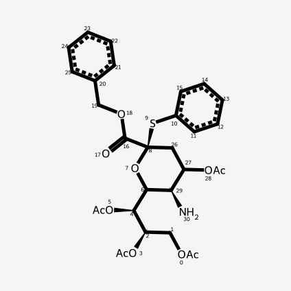 CC(=O)OC[C@@H](OC(C)=O)[C@@H](OC(C)=O)C1O[C@](Sc2ccccc2)(C(=O)OCc2ccccc2)CC(OC(C)=O)[C@H]1N